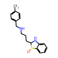 [O-][S+]1c2ccccc2NC1CCCNCc1ccc(C(F)(F)F)cc1